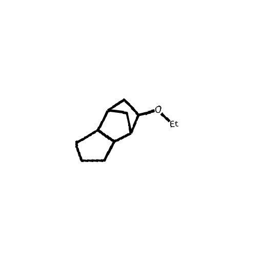 CCOC1CC2CC1C1CCCC21